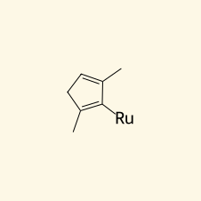 CC1=CCC(C)=[C]1[Ru]